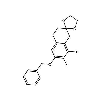 Fc1c(I)c(OCc2ccccc2)cc2c1CC1(CC2)OCCO1